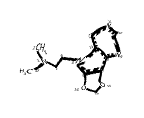 CN(C)CCn1c2c(c3ncncc31)OCO2